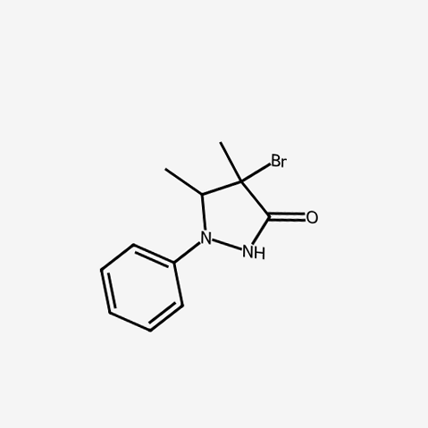 CC1N(c2ccccc2)NC(=O)C1(C)Br